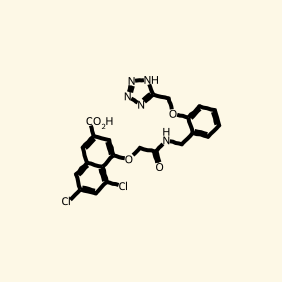 O=C(COc1cc(C(=O)O)cc2cc(Cl)cc(Cl)c12)NCc1ccccc1OCc1nnn[nH]1